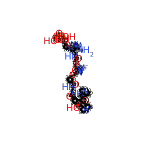 CP(=O)(O)OP(=O)(O)OP(=O)(O)OC[C@@H]1CC[C@H](n2cc(CNC(=O)COCCOC(COc3cccc(C(=O)NCCNC(=O)c4ccc(C(=O)O)c(C5=c6cc7c8c(c6Oc6c5cc5c9c6CCCN9CCC5)CCC[N+]=8CCC7)c4)c3)N=[N+]=[N-])c3c(N)ncnc32)O1